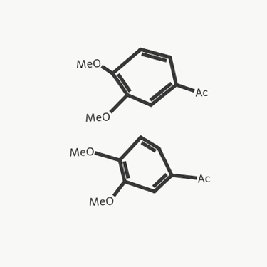 COc1ccc(C(C)=O)cc1OC.COc1ccc(C(C)=O)cc1OC